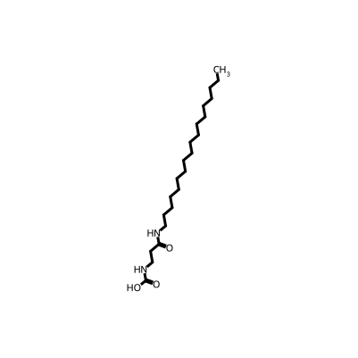 CCCCCCCCCCCCCCCCCCNC(=O)CCNC(=O)O